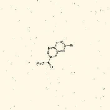 COC(=O)c1cnc2ccc(Br)nc2c1